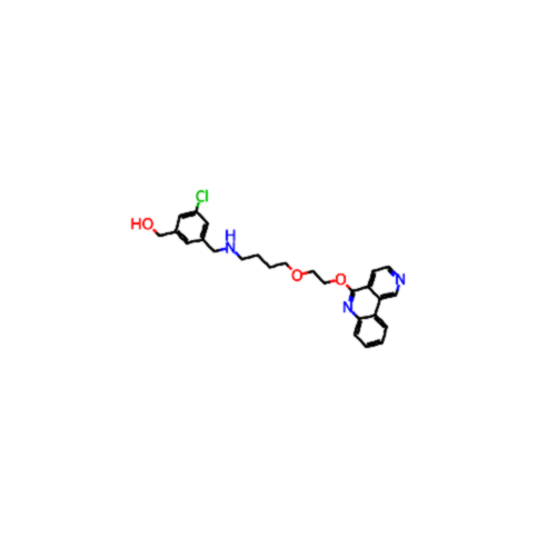 OCc1cc(Cl)cc(CNCCCCOCCOc2nc3ccccc3c3cnccc23)c1